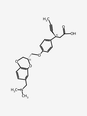 CC#C[C@@H](CC(=O)O)c1ccc(OC[C@H]2COc3ccc(CN(C)C)cc3O2)cc1